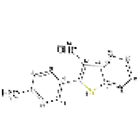 Cc1ccc(-c2sc3ccccc3c2C=O)cc1